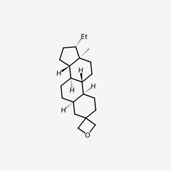 CC[C@H]1CC[C@H]2[C@@H]3CC[C@@H]4CC5(CC[C@@H]4[C@H]3CC[C@]12C)COC5